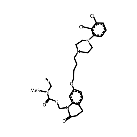 CSN(CC(C)C)C(=O)OCN1C(=O)CCc2ccc(OCCCCN3CCN(c4cccc(Cl)c4Cl)CC3)cc21